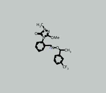 COc1nn(C)c(=O)n1-c1ccccc1/C=N/OC(C)c1cccc(C(F)(F)F)c1